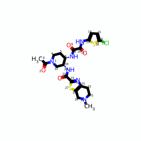 CC(=O)N1CC[C@H](NC(=O)C(=O)Nc2ccc(Cl)s2)[C@H](NC(=O)c2nc3c(s2)CN(C)CC3)C1